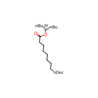 CCCCCCCCCCCCCCCCCC(=O)[O][SnH]([CH2]CCC)[CH2]CCC